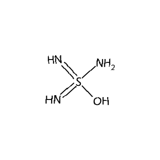 N=S(=N)(N)O